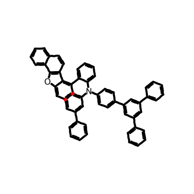 c1ccc(-c2cc(-c3ccccc3)cc(-c3ccc(N(c4cccc(-c5ccccc5)c4)c4ccccc4-c4cccc5oc6c7ccccc7ccc6c45)cc3)c2)cc1